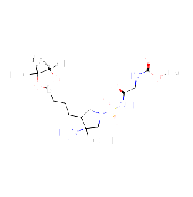 CC(C)(C)OC(=O)NCC(=O)NS(=O)(=O)N1CC(CCCB2OC(C)(C)C(C)(C)O2)C(N)(C(=O)O)C1